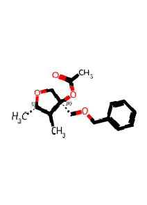 CC(=O)O[C@]1(COCc2ccccc2)CO[C@@H](C)C1C